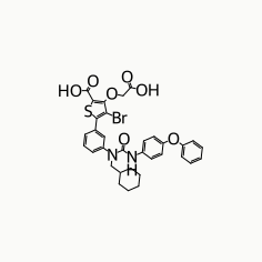 O=C(O)COc1c(C(=O)O)sc(-c2cccc(N(CC3CCCCC3)C(=O)Nc3ccc(Oc4ccccc4)cc3)c2)c1Br